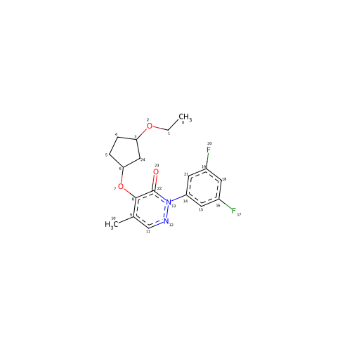 CCOC1CCC(Oc2c(C)cnn(-c3cc(F)cc(F)c3)c2=O)C1